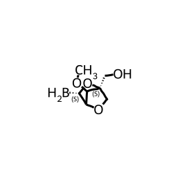 B[C@@H]1O[C@@]2(CO)COC1C2OC